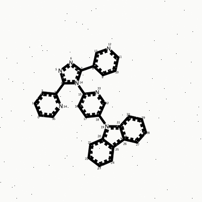 c1ccc(-c2nnc(-c3cccnc3)n2-c2ccc(-n3c4ccccc4c4ccccc43)cn2)nc1